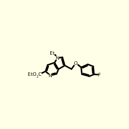 CCOC(=O)c1cc2c(cn1)c(COc1ccc(F)cc1)cn2CC